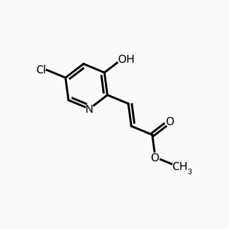 COC(=O)/C=C/c1ncc(Cl)cc1O